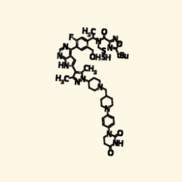 Cc1nn(C2CCN(CC3CCN(c4ccc(N5CCC(=O)NC5=O)cc4)CC3)CC2)c(C)c1-c1cc2c(-c3cc(CO)c([C@@H](C)N(CSS)C(=O)c4noc(C(C)(C)C)n4)cc3F)ncnc2[nH]1